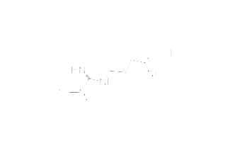 CC(=O)N(C(=N)NCCC[C@H](N)C(=O)O)C(C)=O